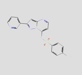 COc1ccc(S(=O)(=O)Nc2ccnc3cc(-c4cccnc4)nn23)cc1